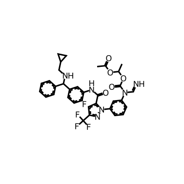 CC(=O)OC(C)OC(=O)N(C=N)c1cccc(-n2nc(C(F)(F)F)cc2C(=O)Nc2cc(C(NCC3CC3)c3ccccc3)ccc2F)c1